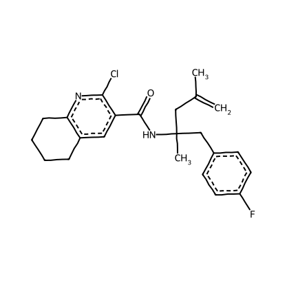 C=C(C)CC(C)(Cc1ccc(F)cc1)NC(=O)c1cc2c(nc1Cl)CCCC2